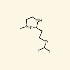 CN1CCN[C@@H](CCOC(I)I)C1